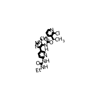 CCNC(=O)Nc1ccc(-c2nnn(C)c2NC(=O)O[C@H](C)c2cccnc2Cl)cn1